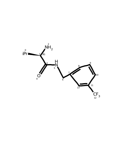 CC(C)[C@@H](N)C(=O)NCc1cccc(C(F)(F)F)c1